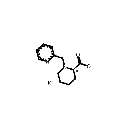 O=C([O-])[C@H]1CCCCN1Cc1ccccn1.[K+]